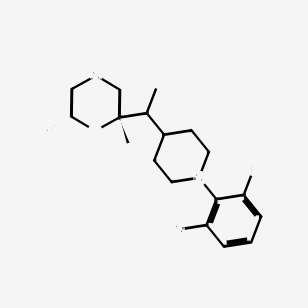 CC(C1CCN(c2c(N)cccc2F)CC1)[C@@]1(C)CNC[C@@H](C)O1